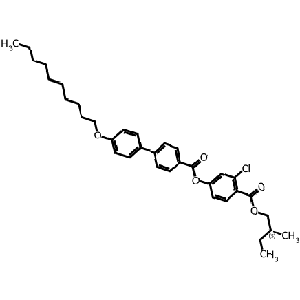 CCCCCCCCCCOc1ccc(-c2ccc(C(=O)Oc3ccc(C(=O)OC[C@@H](C)CC)c(Cl)c3)cc2)cc1